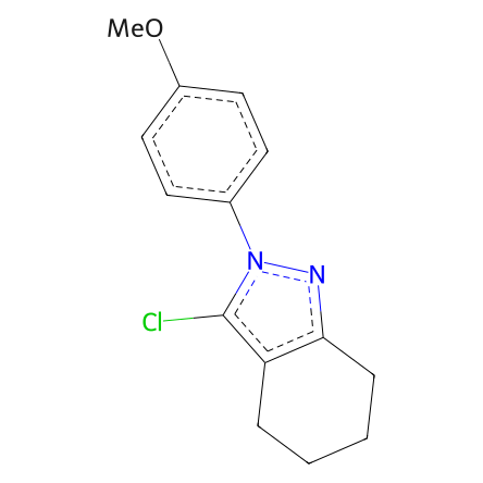 COc1ccc(-n2nc3c(c2Cl)CCCC3)cc1